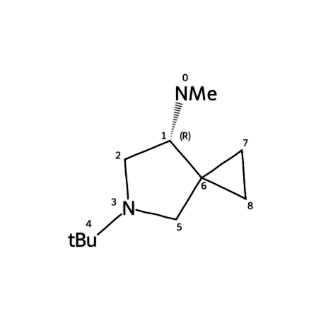 CN[C@H]1CN(C(C)(C)C)CC12CC2